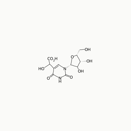 O=C(O)C(O)c1cn([C@@H]2O[C@H](CO)[C@H](O)C2O)c(=O)[nH]c1=O